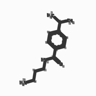 CC(C)c1ccc(C(=O)NCCCN)cc1